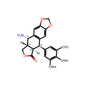 COc1cc([C@@H]2c3cc4c(cc3[C@@H](N)[C@H]3COC(=O)[C@H]23)OCO4)cc(C=O)c1OC